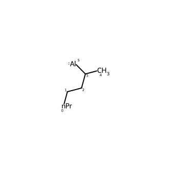 CCCCC[CH](C)[Al]